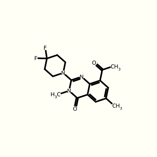 CC(=O)c1cc(C)cc2c(=O)n(C)c(N3CCC(F)(F)CC3)nc12